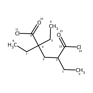 CCC(CC(CC)(CC)C(=O)Cl)C(=O)Cl